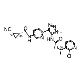 C[C@@H](OC(=O)Nc1c(-c2ccc(NC(=O)[C@@H]3C[C@@H]3C#N)cn2)nnn1C)c1cccnc1Cl